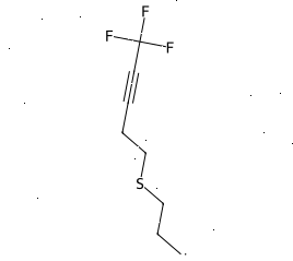 [CH2]CCSCCC#CC(F)(F)F